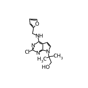 CC(C)(CO)n1ccc2c(NCc3ccco3)nc(Cl)nc21